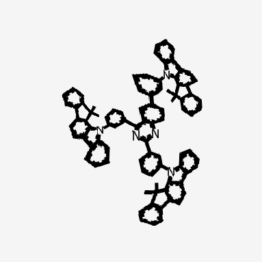 CC1(C)c2ccccc2-c2ccc3c4ccccc4n(-c4cccc(-c5ccc6nc(-c7cccc(-n8c9ccccc9c9ccc%10c(c98)C(C)(C)c8ccccc8-%10)c7)nc(-c7cccc(-n8c9ccccc9c9ccc%10c(c98)C(C)(C)c8ccccc8-%10)c7)c6c5)c4)c3c21